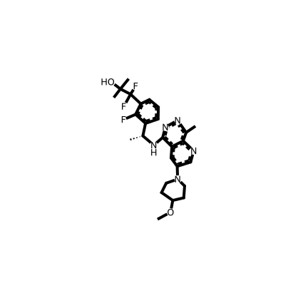 COC1CCN(c2cnc3c(C)nnc(N[C@H](C)c4cccc(C(F)(F)C(C)(C)O)c4F)c3c2)CC1